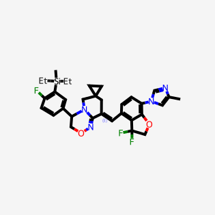 CC[Si](C)(CC)c1cc(C2CON=C3/C(=C/c4ccc(-n5cnc(C)c5)c5c4C(F)(F)CO5)CC4(CC4)CN32)ccc1F